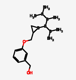 BB(B)B(B)B(B(B)B)B1CC1COc1cccc(CO)c1